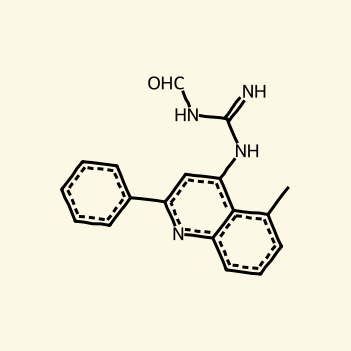 Cc1cccc2nc(-c3ccccc3)cc(NC(=N)NC=O)c12